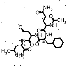 CC(=O)NC(CCC(N)=O)C(=O)N[C@@H](CC1CCCCC1)C(=O)NC(CC=O)C(=O)N[C@@H](CC(C)C)C(N)=O